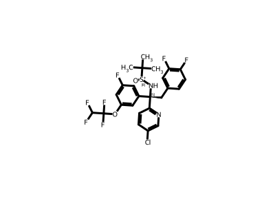 CC(C)(C)[S@+]([O-])N[C@@](Cc1ccc(F)c(F)c1)(c1cc(F)cc(OC(F)(F)C(F)F)c1)c1ccc(Cl)cn1